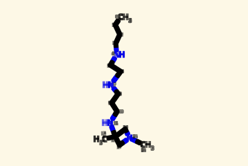 CCCCNCCNCCCNC1(C)CN(C)C1